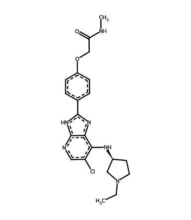 CCN1CC[C@H](Nc2c(Cl)cnc3[nH]c(-c4ccc(OCC(=O)NC)cc4)nc23)C1